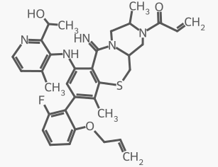 C=CCOc1cccc(F)c1-c1cc(Nc2c(C)ccnc2C(C)O)c2c(c1C)SCC1CN(C(=O)C=C)C(C)CN1C2=N